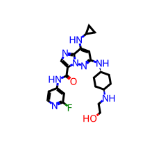 O=C(Nc1ccnc(F)c1)c1cnc2c(NC3CC3)cc(N[C@H]3CC[C@H](NCCO)CC3)nn12